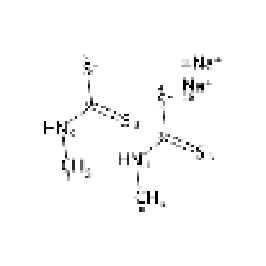 CNC(=S)[S-].CNC(=S)[S-].[Na+].[Na+]